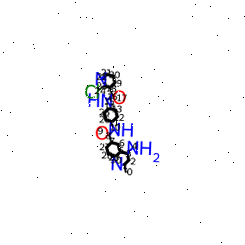 Cc1cc(N)c2cc(C(=O)Nc3ccc(NC(=O)c4cccnc4Cl)cc3)ccc2n1